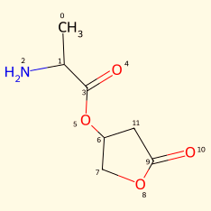 CC(N)C(=O)OC1COC(=O)C1